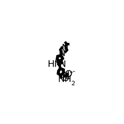 CC(C)N1CCN(c2ccc3[nH]c(-c4ccc(N)c([N+](=O)[O-])c4)nc3c2)CC1